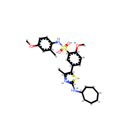 COc1ccc(NS(=O)(=O)c2cc(-c3sc(NC4CCCCCC4)nc3C)ccc2OC)c(C)c1